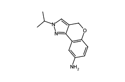 CC(C)n1cc2c(n1)-c1cc(N)ccc1OC2